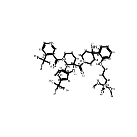 CCC[C@H]1N(C(=O)c2cnccc2C(F)(F)F)CCC[C@@]1(Oc1csc(C(F)(F)F)c1)C(=O)N1CCC(N)(c2ccccc2OCCCP(=O)(OC)OC)CC1